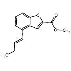 CC/C=C/c1cccc2sc(C(=O)OC)cc12